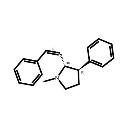 CN1CC[C@H](c2ccccc2)[C@H]1/C=C\c1ccccc1